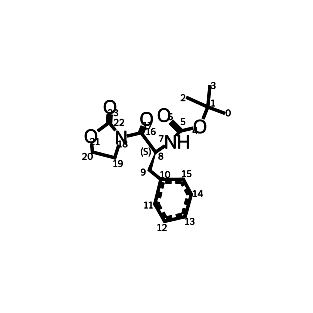 CC(C)(C)OC(=O)N[C@@H](Cc1ccccc1)C(=O)N1CCOC1=O